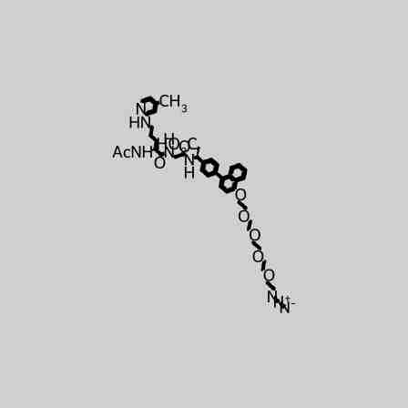 CC(=O)N[C@@H](CCCNc1cc(C)ccn1)C(=O)NCC(=O)N[C@@H](CC(=O)O)c1ccc(-c2ccc(OCCOCCOCCOCCOCCN=[N+]=[N-])c3ccccc23)cc1